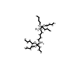 CCCCOC(CCC)(OCCCC)[SiH2]CCCC[SiH2]C(CCC)(OCCCC)OCCCC